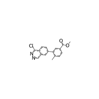 COC(=O)c1ccc(C)c(-c2ccc3c(Cl)nncc3c2)c1